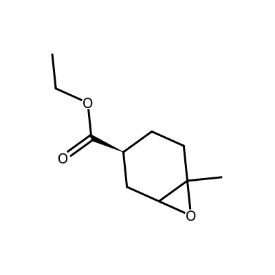 CCOC(=O)[C@H]1CCC2(C)OC2C1